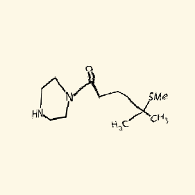 CSC(C)(C)CCC(=O)N1CCNCC1